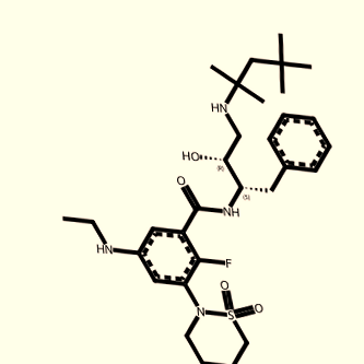 CCNc1cc(C(=O)N[C@@H](Cc2ccccc2)[C@H](O)CNC(C)(C)CC(C)(C)C)c(F)c(N2CCCCS2(=O)=O)c1